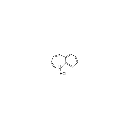 C1=CNc2ccccc2C=C1.Cl